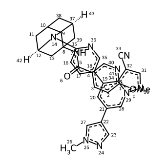 COc1ccc(C(=O)NC23CC4C[C@H](C2)N(c2ccc(-c5cc(-c6cnn(C)c6)cn6ncc(C#N)c56)cn2)[C@@H](C4)C3)cn1